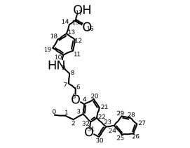 CCCc1c(OCCCNc2ccc(CC(=O)O)cc2)ccc2c(-c3ccccc3)coc12